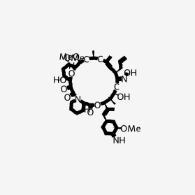 C=CC[C@@H]1/C=C(\C)C[C@H](C)C[C@H](OC)[C@H]2O[C@@](O)(C(=O)C(=O)N3CCCC[C@H]3C(=O)O[C@H](/C(C)=C/[C@@H]3CCC(=N)[C@H](OC)C3)[C@H](C)[C@@H](O)C/C1=N/O)[C@H](C)C[C@@H]2OC